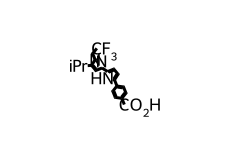 CC(C)c1cc(-c2ccc(-c3ccc(C(=O)O)cc3)[nH]2)nn1CC(F)(F)F